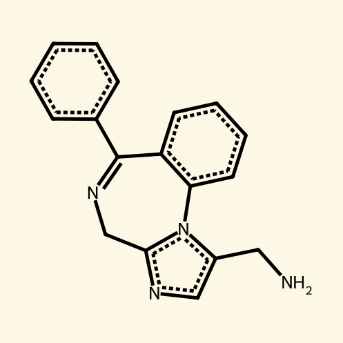 NCc1cnc2n1-c1ccccc1C(c1ccccc1)=NC2